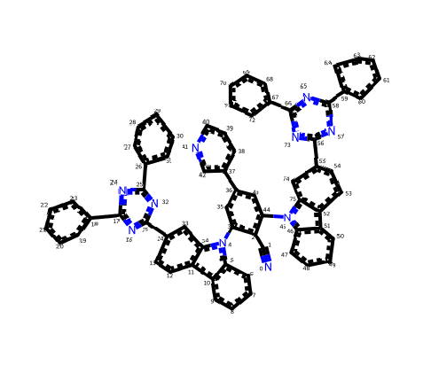 N#Cc1c(-n2c3ccccc3c3ccc(-c4nc(-c5ccccc5)nc(-c5ccccc5)n4)cc32)cc(-c2cccnc2)cc1-n1c2ccccc2c2ccc(-c3nc(-c4ccccc4)nc(-c4ccccc4)n3)cc21